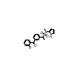 CC(c1cccc(C(=O)c2ccccc2F)c1)S(=O)(=O)N(C)c1ccc[nH]1